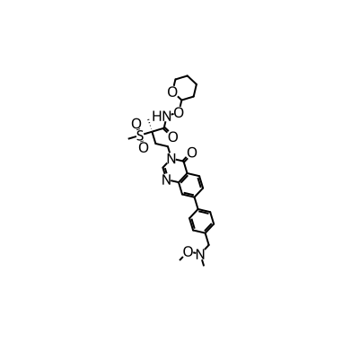 CON(C)Cc1ccc(-c2ccc3c(=O)n(CC[C@](C)(C(=O)NOC4CCCCO4)S(C)(=O)=O)cnc3c2)cc1